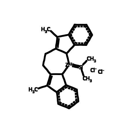 CC1=C2CCC3=C(C)c4ccccc4[CH]3[Zr+2](=[Si](C)C)[CH]2c2ccccc21.[Cl-].[Cl-]